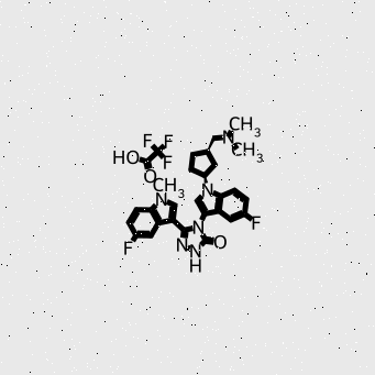 CN(C)C[C@@H]1CC[C@H](n2cc(-n3c(-c4cn(C)c5ccc(F)cc45)n[nH]c3=O)c3cc(F)ccc32)C1.O=C(O)C(F)(F)F